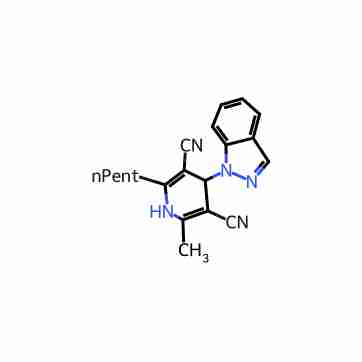 CCCCCC1=C(C#N)C(n2ncc3ccccc32)C(C#N)=C(C)N1